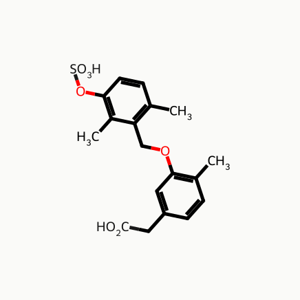 Cc1ccc(CC(=O)O)cc1OCc1c(C)ccc(OS(=O)(=O)O)c1C